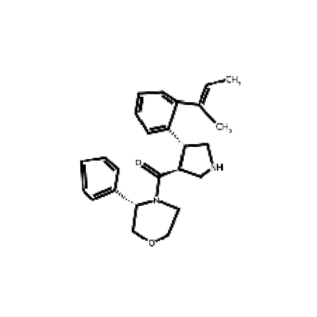 C/C=C(\C)c1ccccc1[C@@H]1CNC[C@H]1C(=O)N1CCOC[C@@H]1c1ccccc1